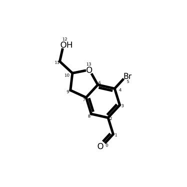 O=Cc1cc(Br)c2c(c1)CC(CO)O2